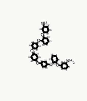 Nc1cccc(Oc2ccccc2Oc2ccc(Oc3ccc(Oc4ccc(Oc5ccccc5Oc5cccc(N)c5)cc4)cc3)cc2)c1